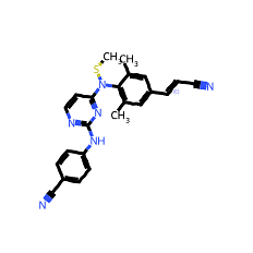 CSN(c1ccnc(Nc2ccc(C#N)cc2)n1)c1c(C)cc(/C=C/C#N)cc1C